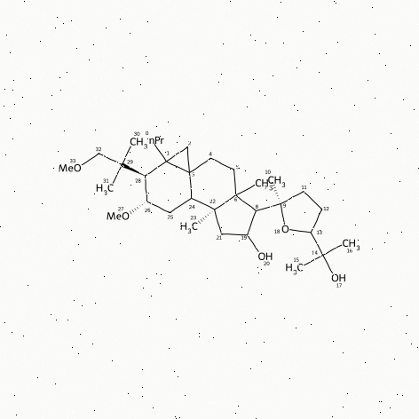 CCCC12CC13CCC1(C)C([C@@]4(C)CCC(C(C)(C)O)O4)C(O)C[C@@]1(C)C3C[C@H](OC)[C@H]2C(C)(C)COC